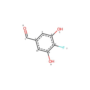 O=Cc1cc(O)c(F)c(O)c1